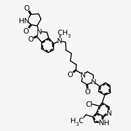 CCc1c[nH]c2ncc(-c3cccc(N4CCN(C(=O)CCCCCN(C)c5cccc6c5CN(C5CCC(=O)NC5=O)C6=O)CC4=O)c3)c(Cl)c12